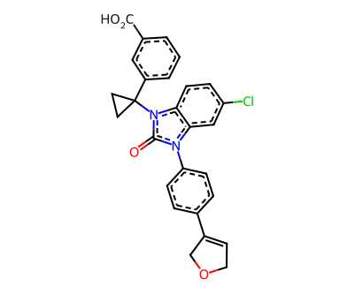 O=C(O)c1cccc(C2(n3c(=O)n(-c4ccc(C5=CCOC5)cc4)c4cc(Cl)ccc43)CC2)c1